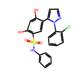 O=S(=O)(Nc1ccccc1)c1cc(-c2ccnn2-c2ccccc2Cl)c(O)cc1O